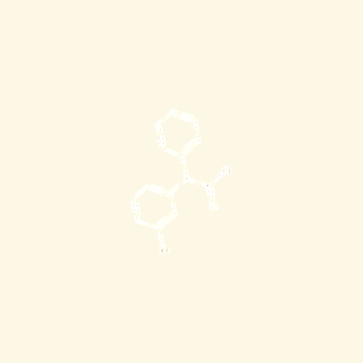 O=C(Cl)C(c1ccccc1)c1cccc(Br)c1